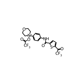 O=C(Nc1ccc([N+]2(OC(=O)C(F)(F)F)CCOCC2)cc1)c1ccc(C(=O)C(F)(F)F)s1